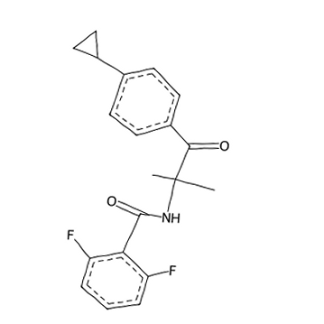 CC(C)(NC(=O)c1c(F)cccc1F)C(=O)c1ccc(C2CC2)cc1